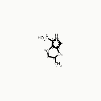 CC1COc2c(c[nH]c2C(=O)O)O1